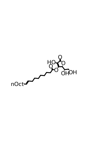 CCCCCCCC/C=C/CCCCCCCC(=O)OC1=C(O)C(=O)O[C@@H]1[C@@H](O)CO